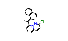 C=CC1=C(/C(C)=C(C)/C(=C/C)N2N=C(Cl)C=CC2=C)CCC=C1